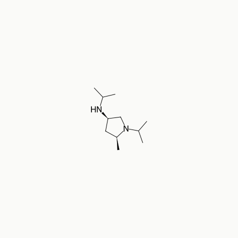 CC(C)N[C@@H]1C[C@H](C)N(C(C)C)C1